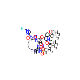 COc1ccc2c(O[C@@H]3C[C@H]4C(=O)N[C@]5(C(=O)NS(=O)(=O)C6(C)CC6)C[C@H]5/C=C\CCCCC[C@H](NC(=O)c5ccn(CCF)n5)C(=O)N4C3)cc(OC(C)C)nc2c1C